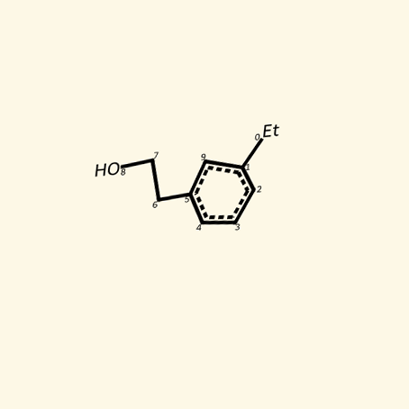 [CH2]Cc1cccc(CCO)c1